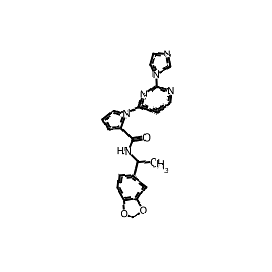 CC(NC(=O)c1cccn1-c1ccnc(-n2ccnc2)n1)c1ccc2c(c1)OCO2